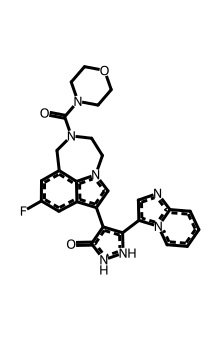 O=C(N1CCOCC1)N1CCn2cc(-c3c(-c4cnc5ccccn45)[nH][nH]c3=O)c3cc(F)cc(c32)C1